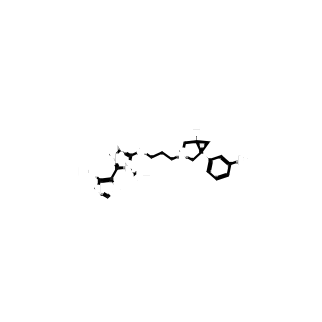 Cc1ncoc1-c1nnc(SCCCN2C[C@@H]3C[C@]3(c3cccc(Br)c3)C2)n1C